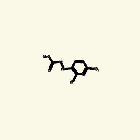 COC(=O)NNc1ccc([N+](=O)[O-])cc1Cl